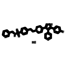 Cl.O=S(=O)(NCc1cccnc1)c1ccc(CCN2CC=C(c3c[nH]c(-c4ccc(F)cc4)c3-c3ccncc3)CC2)cc1